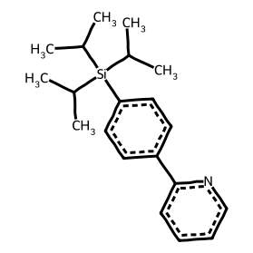 CC(C)[Si](c1ccc(-c2ccccn2)cc1)(C(C)C)C(C)C